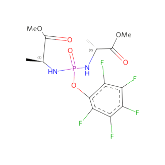 COC(=O)[C@H](C)NP(=O)(N[C@H](C)C(=O)OC)Oc1c(F)c(F)c(F)c(F)c1F